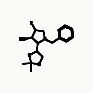 CC1(C)OCC(C2[C@@H](O)C(F)CN2Cc2ccccc2)O1